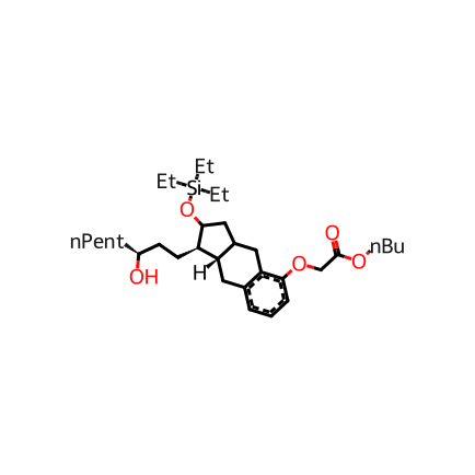 CCCCC[C@H](O)CC[C@H]1C(O[Si](CC)(CC)CC)CC2Cc3c(cccc3OCC(=O)OCCCC)C[C@@H]21